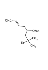 CCC(C)(C)CC(C/C=C/C=O)OC